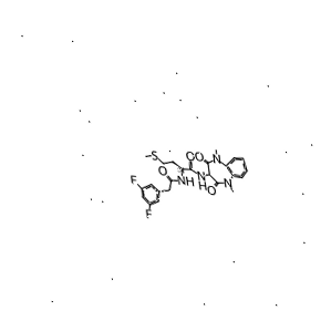 CSCC[C@H](NC(=O)Cc1cc(F)cc(F)c1)C(=O)NC1C(=O)N(C)c2ccccc2N(C)C1=O